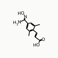 Cc1cc(/C(N)=N/O)cc(C)c1/C=C/C(=O)O